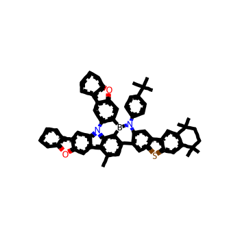 Cc1cc2c3c4c1c1cc5oc6ccccc6c5cc1n4-c1cc4c(cc1B3N(c1ccc(C(C)(C)C)cc1)c1cc3c(cc1-2)sc1cc2c(cc13)C(C)(C)CCC2(C)C)oc1ccccc14